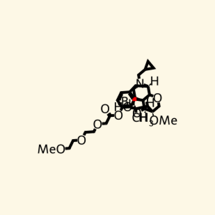 COCCOCCOCC(=O)Oc1ccc2c3c1O[C@@H]1[C@]4(OC)CO[C@]5(C[C@@H]4[C@](C)(O)C(C)(C)C)[C@@H](C2)N(CC2CC2)CC[C@]315